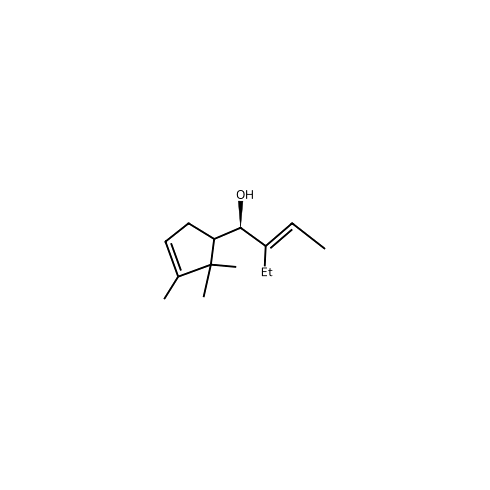 C/C=C(\CC)[C@H](O)C1CC=C(C)C1(C)C